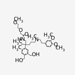 COCCOCC(=O)NCC(CCCN(C)CCc1ccc(OC)c(OC)c1)(c1ccc(CO)c(CO)c1)C(C)C